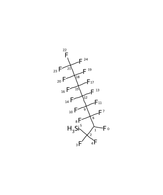 FC(C(F)(F)[SiH3])C(F)(F)C(F)(F)C(F)(F)C(F)(F)C(F)(F)C(F)(F)F